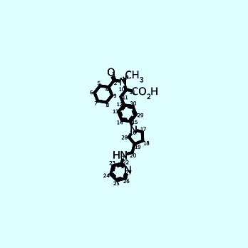 CN(C(=O)C1CCCCC1)C(Cc1ccc(N2CCC(CNc3ccccn3)C2)cc1)C(=O)O